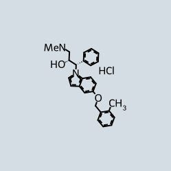 CNC[C@@H](O)[C@H](c1ccccc1)n1ccc2cc(OCc3ccccc3C)ccc21.Cl